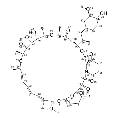 CO[C@H]1C[C@@H]2CC[C@@H](C)[C@@](O)(O2)C(=O)C(=O)N2CCCC[C@H]2C(=O)O[C@H]([C@H](C)C[C@@H]2CC[C@@H](O)[C@H](OC)C2)CC(=O)[C@H](C)CC(C)[C@@H](O)[C@@H](OC)C(=O)[C@H](C)C[C@H](C)/C=C/C=C/C=C/1C